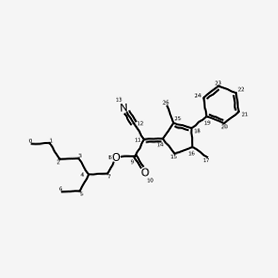 CCCCC(CC)COC(=O)C(C#N)=C1CC(C)C(c2ccccc2)=C1C